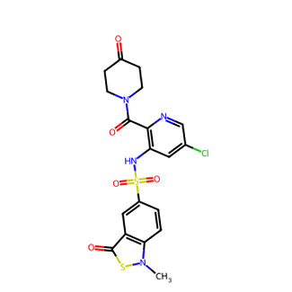 Cn1sc(=O)c2cc(S(=O)(=O)Nc3cc(Cl)cnc3C(=O)N3CCC(=O)CC3)ccc21